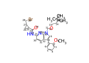 COc1ccccc1-c1cn(COCC[Si](C)(C)C)c2nc(NC(=O)C3CC3CBr)ccc12